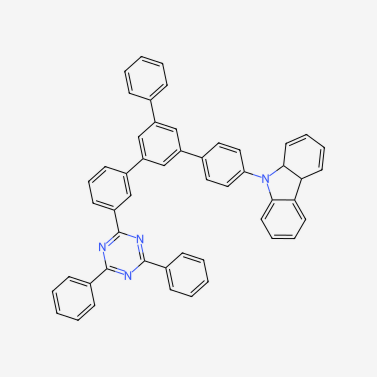 C1=CC2c3ccccc3N(c3ccc(-c4cc(-c5ccccc5)cc(-c5cccc(-c6nc(-c7ccccc7)nc(-c7ccccc7)n6)c5)c4)cc3)C2C=C1